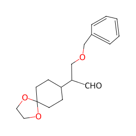 O=CC(COCc1ccccc1)C1CCC2(CC1)OCCO2